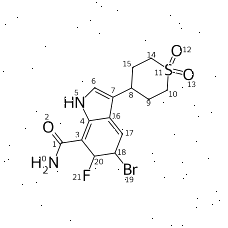 NC(=O)C1=c2[nH]cc(C3CCS(=O)(=O)CC3)c2=CC(Br)C1F